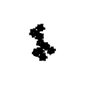 c1ccc(-c2ccc3c4cc(-c5ccc6c(c5)c5ccccc5n6-c5ccccc5)ccc4n(-c4cc(-c5ccccc5)c5ccccc5n4)c3c2)cc1